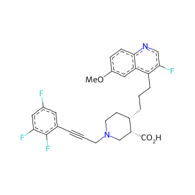 COc1ccc2ncc(F)c(CCC[C@H]3CCN(CC#Cc4cc(F)cc(F)c4F)C[C@H]3C(=O)O)c2c1